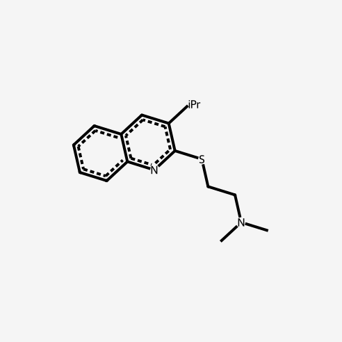 CC(C)c1cc2ccccc2nc1SCCN(C)C